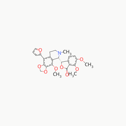 COc1ccc2c(c1OC)C(=O)O[C@@H]2C1c2c(c(-c3ccco3)c3c(c2OC)OCO3)CCN1C